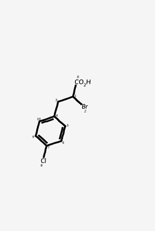 O=C(O)C(Br)Cc1ccc(Cl)cc1